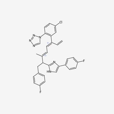 C=C/C(=C\C=C(/C)C(Cc1ccc(F)cc1)c1nc(-c2ccc(F)cc2)c[nH]1)c1cc(Cl)ccc1-n1cnnn1